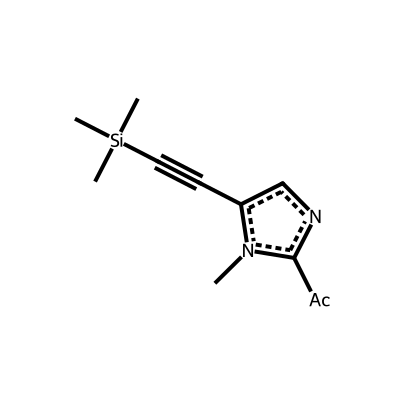 CC(=O)c1ncc(C#C[Si](C)(C)C)n1C